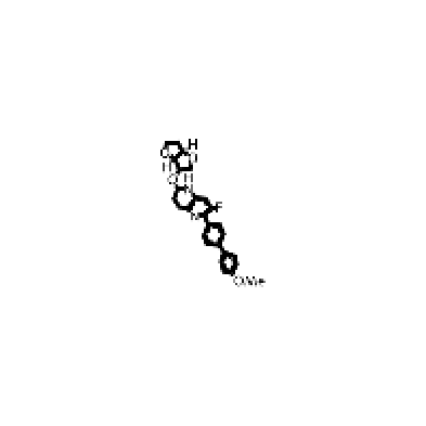 COc1ccc(-c2ccc(-c3nc4c(cc3F)NC(OC3CO[C@@H]5CCO[C@H]35)CC4)cc2)cc1